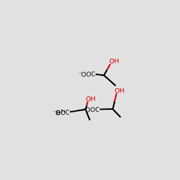 CC(O)C(=O)[O-].CC(O)C(=O)[O-].CC(O)C(=O)[O-].[B+3]